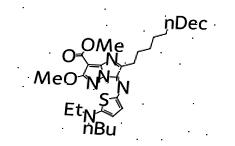 CCCCCCCCCCCCCCCC1=Nc2c(C(=O)OC)c(OC)nn2/C1=N\c1ccc(N(CC)CCCC)s1